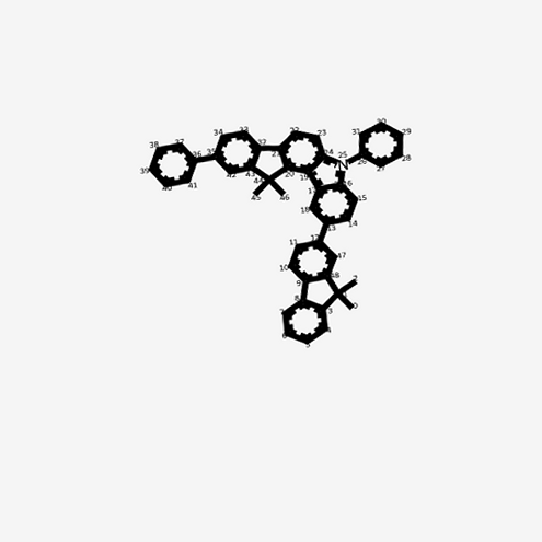 CC1(C)c2ccccc2-c2ccc(-c3ccc4c(c3)c3c5c(ccc3n4-c3ccccc3)-c3ccc(-c4ccccc4)cc3C5(C)C)cc21